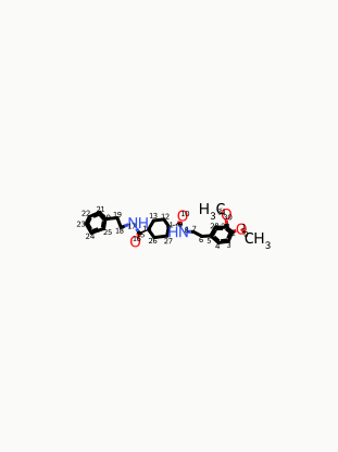 COc1ccc(CCNC(=O)[C@H]2CC[C@H](C(=O)NCCc3ccccc3)CC2)cc1OC